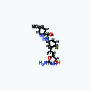 C[C@H](/C=C(/CO)OC(=N)N)c1cc(NC(=O)c2ccc(C#N)cn2)ccc1F